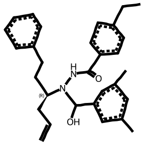 C=CC[C@@H](CCc1ccccc1)N(NC(=O)c1ccc(CC)cc1)C(O)c1cc(C)cc(C)c1